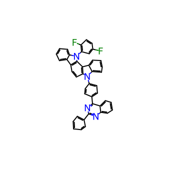 Fc1ccc(F)c(-n2c3ccccc3c3ccc4c(c5ccccc5n4-c4ccc(-c5nc(-c6ccccc6)nc6ccccc56)cc4)c32)c1